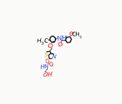 COc1cccc(C(=O)Nc2ccc(C)c(OCc3csc4c(OC(=O)NCCO)cncc34)c2)c1